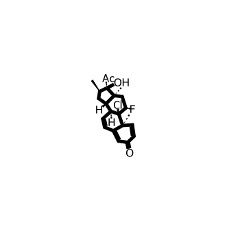 CC(=O)[C@@]1(O)[C@H](C)C[C@H]2[C@@H]3C=CC4=CC(=O)C=C[C@]4(C)[C@@]3(Cl)[C@@H](F)C[C@@]21C